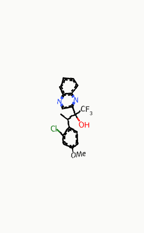 COc1ccc(C(C)C(O)(c2cnc3ccccc3n2)C(F)(F)F)c(Cl)c1